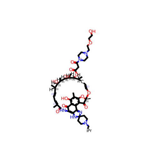 C/C1=C/C=C/[C@H](C)[C@H](O)[C@@H](C)[C@@H](O)[C@@H](C)[C@H](OC(=O)CC(=O)N2CCN(CCOCCO)CC2)[C@H](C)C/C=C/O[C@@]2(C)Oc3c(C)c(O)c4c(c3C2=O)C2=NC3(CCN(CC(C)C)CC3)NC2=C(NC1=O)C4=O